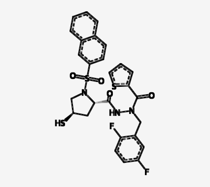 O=C(NN(Cc1cc(F)ccc1F)C(=O)c1cccs1)[C@@H]1C[C@@H](S)CN1S(=O)(=O)c1ccc2ccccc2c1